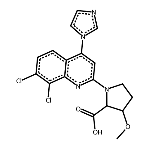 COC1CCN(c2cc(-n3ccnc3)c3ccc(Cl)c(Cl)c3n2)C1C(=O)O